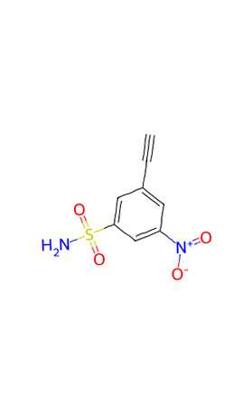 C#Cc1cc([N+](=O)[O-])cc(S(N)(=O)=O)c1